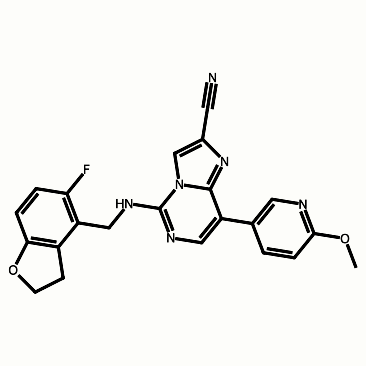 COc1ccc(-c2cnc(NCc3c(F)ccc4c3CCO4)n3cc(C#N)nc23)cn1